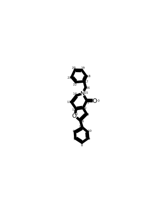 O=c1c2cc(-c3ccccc3)oc2ccn1Cc1ccccc1